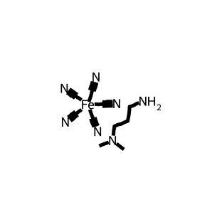 CN(C)CCCN.N#[C][Fe]([C]#N)([C]#N)([C]#N)[C]#N